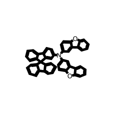 c1ccc2c(c1)-c1ccccc1C21c2ccccc2-c2ccc(N(c3ccc4oc5ccccc5c4c3)c3ccc4oc5ccccc5c4c3)cc21